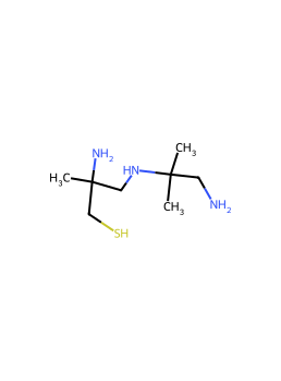 CC(N)(CS)CNC(C)(C)CN